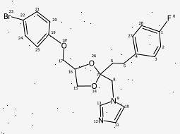 Fc1ccc(CCC2(Cn3ccnc3)OCC(COc3ccc(Br)cc3)O2)cc1